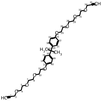 C#CCOCCOCCOCCOc1ccc(C(C)(C)c2ccc(OCCOCCOCCOCC#C)cc2)cc1